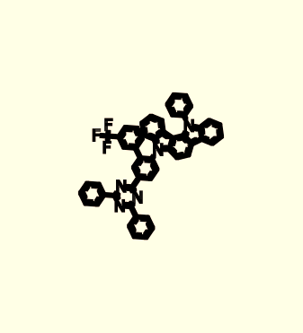 FC(F)(F)c1cccc(-c2cc(-c3nc(-c4ccccc4)nc(-c4ccccc4)n3)ccc2-n2c3ccccc3c3c2ccc2c4ccccc4n(-c4ccccc4)c23)c1